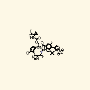 CC(C)(C)CCN/C1=N\C(F)c2ncnn2-c2cc(ccc2Cl)[C@@H](COC(=O)NC2(C(F)F)CC2)N1C(=O)c1ccc(-c2cnn(S(C)(=O)=O)c2)c(F)c1